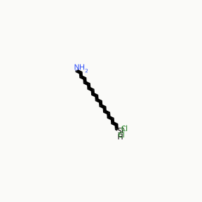 NCCCCCCCCCCCCCCCCCCCCC[SiH](Cl)Cl